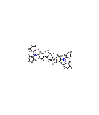 Cc1cccc(N(c2ccccc2)c2ccc(-c3cc(C)c(-c4ccc(N(c5ccccc5)c5ccccc5)cc4)cc3C)cc2)c1